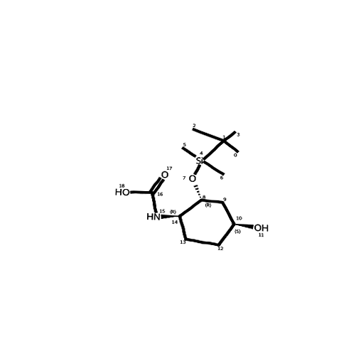 CC(C)(C)[Si](C)(C)O[C@@H]1C[C@@H](O)CC[C@H]1NC(=O)O